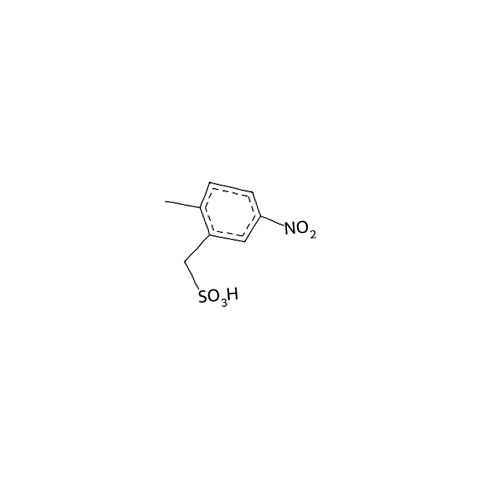 Cc1ccc([N+](=O)[O-])cc1CS(=O)(=O)O